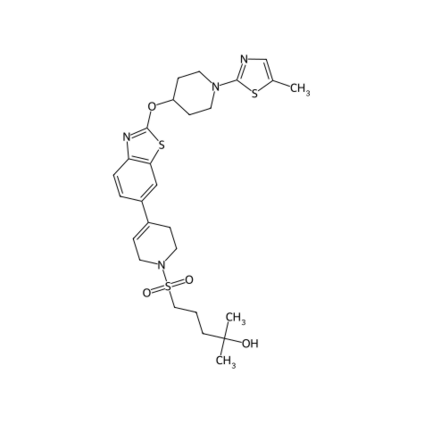 Cc1cnc(N2CCC(Oc3nc4ccc(C5=CCN(S(=O)(=O)CCCC(C)(C)O)CC5)cc4s3)CC2)s1